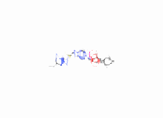 CCc1cnc(SCCN2CCN(C3=COC(C4=CC=CCC4)=CO3)CC2)nc1